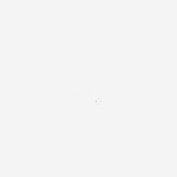 O=C(CCc1ccccc1)c1ccccc1-c1ccccc1